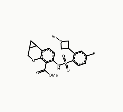 COC(=O)c1c(NS(=O)(=O)c2ccc(F)cc2C2CN(C(C)=O)C2)ccc2c1OCC1CC21